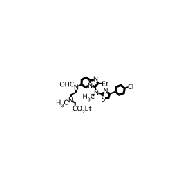 CCOC(=O)CN(C)CCN(C=O)c1ccc2nc(CC)c(N(C)c3nc(-c4ccc(Cl)cc4)cs3)n2c1